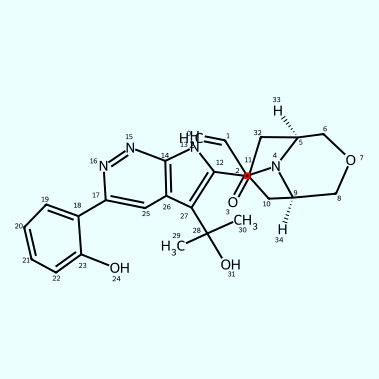 C=CC(=O)N1[C@@H]2COC[C@H]1CC(c1[nH]c3nnc(-c4ccccc4O)cc3c1C(C)(C)O)C2